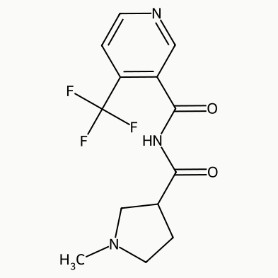 CN1CCC(C(=O)NC(=O)c2cnccc2C(F)(F)F)C1